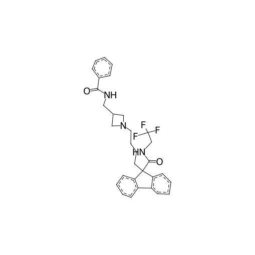 O=C(NCC1CN(CCCCC2(C(=O)NCC(F)(F)F)c3ccccc3-c3ccccc32)C1)c1ccccc1